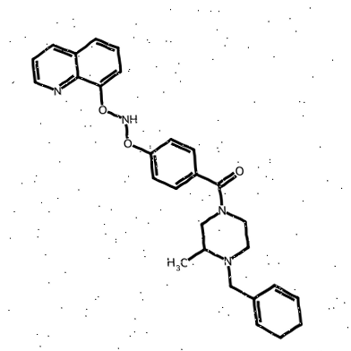 CC1CN(C(=O)c2ccc(ONOc3cccc4cccnc34)cc2)CCN1CC1=CCCC=C1